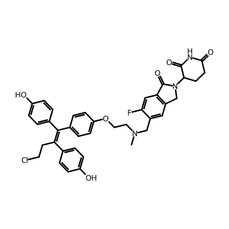 CN(CCOc1ccc(C(=C(CCCl)c2ccc(O)cc2)c2ccc(O)cc2)cc1)Cc1cc2c(cc1F)C(=O)N(C1CCC(=O)NC1=O)C2